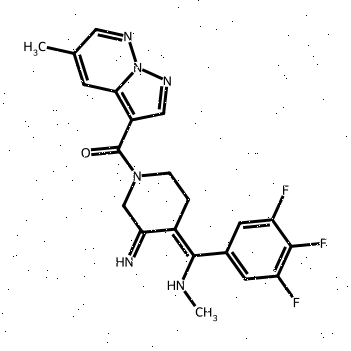 CN/C(=C1/CCN(C(=O)c2cnn3ncc(C)cc23)CC1=N)c1cc(F)c(F)c(F)c1